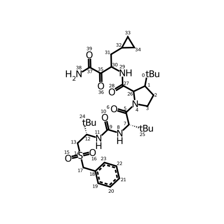 CC(C)(C)C1CCN(C(=O)[C@@H](NC(=O)N[C@H](CS(=O)(=O)Cc2ccccc2)C(C)(C)C)C(C)(C)C)C1C(=O)NC(CC1CC1)C(=O)C(N)=O